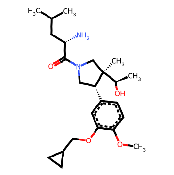 COc1ccc([C@@H]2CN(C(=O)[C@@H](N)CC(C)C)C[C@@]2(C)[C@@H](C)O)cc1OCC1CC1